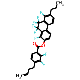 C=CCCc1ccc(C(=O)Oc2ccc3c(c2F)C(F)(F)C(F)(F)c2c-3ccc(CCC)c2F)c(F)c1F